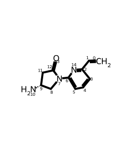 C=Cc1cccc(N2C[C@H](N)CC2=O)n1